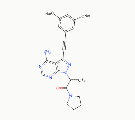 C=C(C(=O)N1CCCC1)n1nc(C#Cc2cc(OC)cc(OC)c2)c2c(N)ncnc21